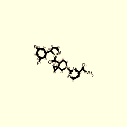 NC(=O)c1ccnc(N2CCC(C(=O)N3N=CCC3c3cc(F)cc(F)c3)C3(CC3)C2)n1